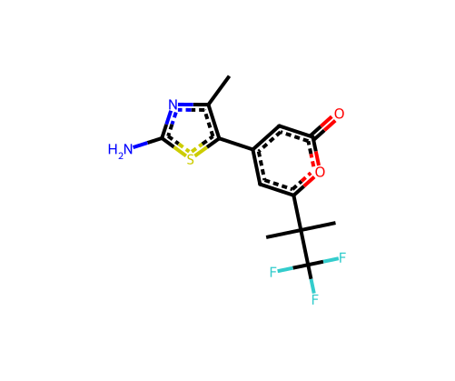 Cc1nc(N)sc1-c1cc(C(C)(C)C(F)(F)F)oc(=O)c1